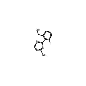 Nc1ccnc(-c2c(F)cccc2CO)n1